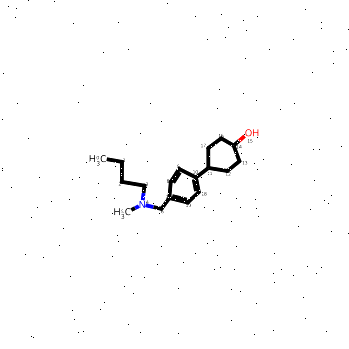 CCCCN(C)Cc1ccc(C2CCC(O)CC2)cc1